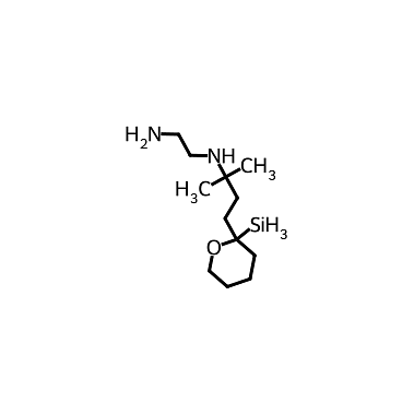 CC(C)(CCC1([SiH3])CCCCO1)NCCN